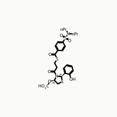 CCCN(CCC)S(=O)(=O)c1ccc(C(=O)SCCC(=O)N2[C@@H](c3ccccc3O)SC[C@H]2OC(=O)O)cc1